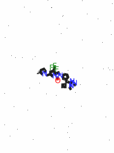 CCn1cnnc1[C@@H](c1cccc(-n2cc3c(C(F)(F)F)cc(CN4CCC[C@H](C)C4)cn3c2=O)c1)C1CCC1